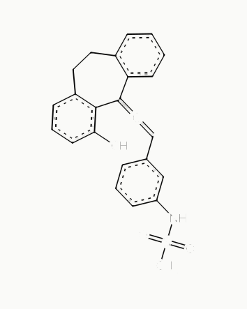 Cc1cccc2c1C(=C=Cc1cccc(NS(C)(=O)=O)c1)c1ccccc1CC2